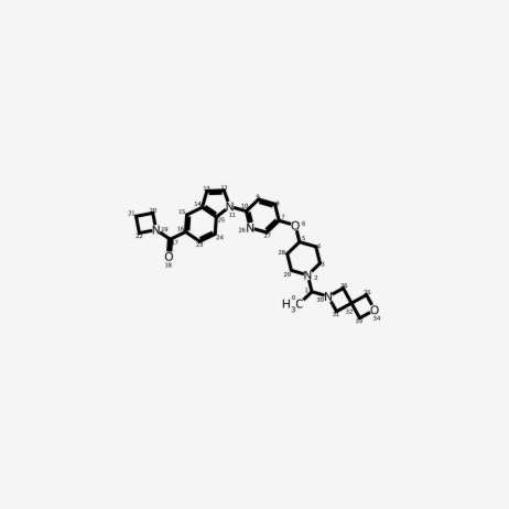 CC(N1CCC(Oc2ccc(-n3ccc4cc(C(=O)N5CCC5)ccc43)nc2)CC1)N1CC2(COC2)C1